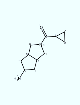 NC1CC2CN(C(=O)C3CC3)CC2C1